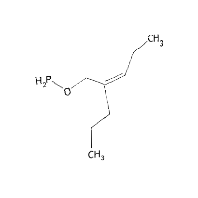 CC/C=C(/CCC)COP